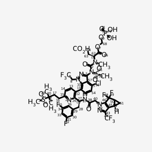 CN(C(=O)N(c1nn(CC(F)(F)F)c2c(-c3ccc(CCC(C)(C)S(C)(=O)=O)nc3[C@H](Cc3cc(F)cc(F)c3)NC(=O)Cn3nc(C(F)(F)F)c4c3C(F)(F)C3C[C@H]43)ccc(Cl)c12)S(C)(=O)=O)[C@@H](CC(=O)O)C(=O)OCOP(=O)(O)O